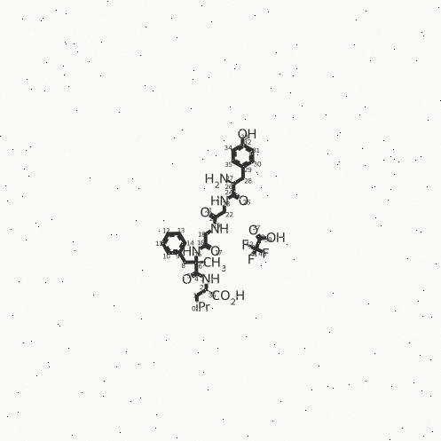 CC(C)C[C@H](NC(=O)[C@](C)(Cc1ccccc1)NC(=O)CNC(=O)CNC(=O)[C@@H](N)Cc1ccc(O)cc1)C(=O)O.O=C(O)C(F)(F)F